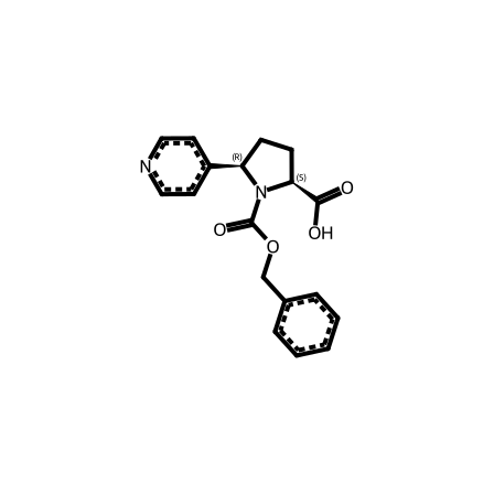 O=C(O)[C@@H]1CC[C@H](c2ccncc2)N1C(=O)OCc1ccccc1